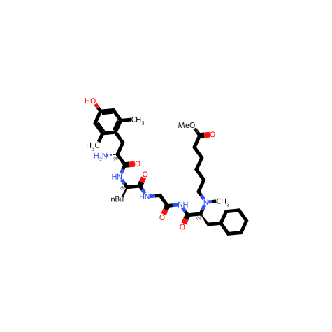 CCCC[C@@H](NC(=O)[C@H](N)Cc1c(C)cc(O)cc1C)C(=O)NCC(=O)NC(=O)[C@H](CC1CCCCC1)N(C)CCCCCC(=O)OC